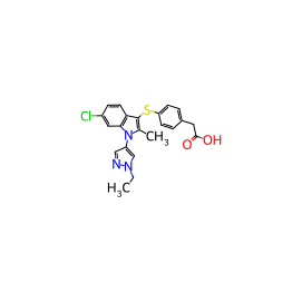 CCn1cc(-n2c(C)c(Sc3ccc(CC(=O)O)cc3)c3ccc(Cl)cc32)cn1